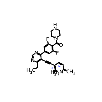 C=C(N)/C=C\C(C#Cc1c(CC)ncnc1-c1cc(F)c(C(=O)N2CCNCC2)c(F)c1)=C/N